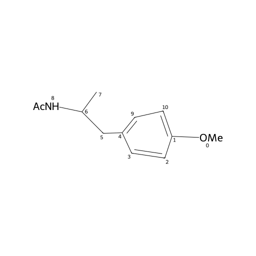 COc1ccc(CC(C)NC(C)=O)cc1